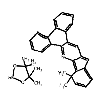 CC1(C)C=CC=C2C=c3cc4c5ccccc5c5ccccc5c4nc3=C21.CC1(C)OBOC1(C)C